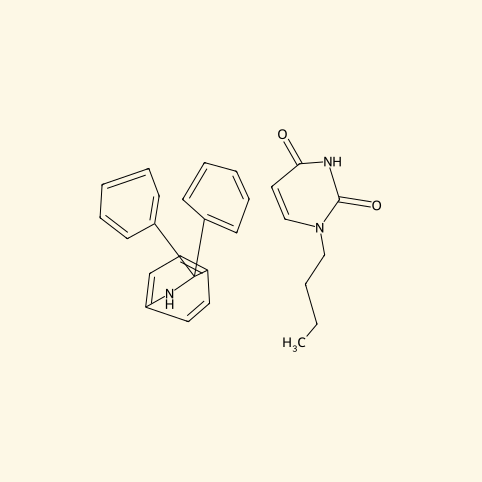 CCCCn1ccc(=O)[nH]c1=O.c1ccc(C2(c3ccccc3)Nc3ccc2cc3)cc1